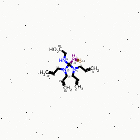 C=CCN(CC=C)C(NCC(=O)O)([PH2]=S)N(CC=C)CC=C